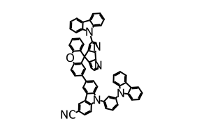 N#Cc1ccc2c(c1)c1cc(-c3ccc4c(c3)C3(c5ccccc5O4)c4cccnc4-c4ncc(-n5c6ccccc6c6ccccc65)cc43)ccc1n2-c1cccc(-n2c3ccccc3c3ccccc32)c1